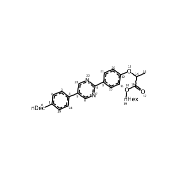 CCCCCCCCCCc1ccc(-c2cnc(-c3ccc(OC(C)C(=O)OCCCCCC)cc3)nc2)cc1